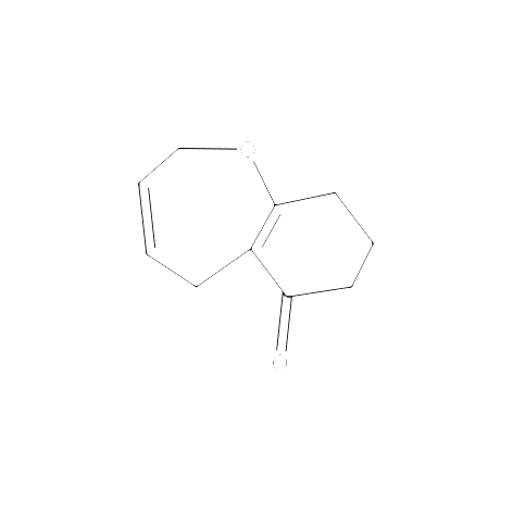 O=C1CCCC2=C1CC=CCO2